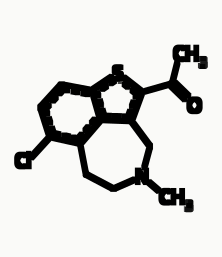 CC(=O)c1sc2ccc(Cl)c3c2c1CN(C)CC3